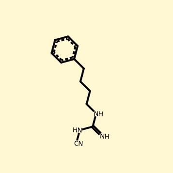 N#CNC(=N)NCCCCc1ccccc1